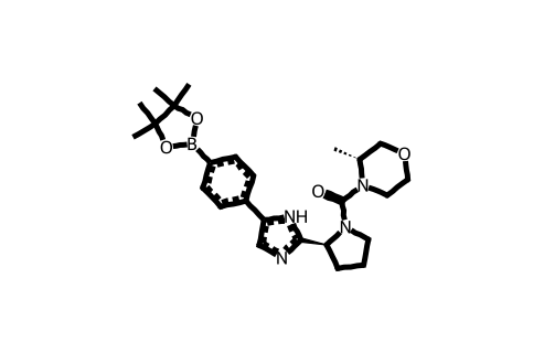 C[C@@H]1COCCN1C(=O)N1CCC[C@H]1c1ncc(-c2ccc(B3OC(C)(C)C(C)(C)O3)cc2)[nH]1